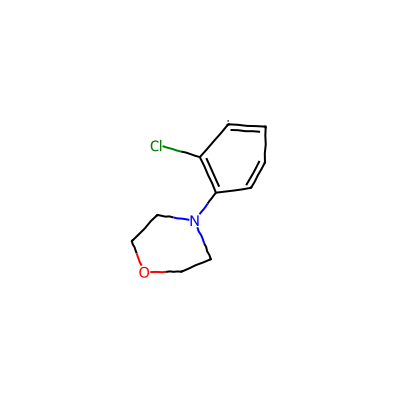 Clc1[c]cccc1N1CCOCC1